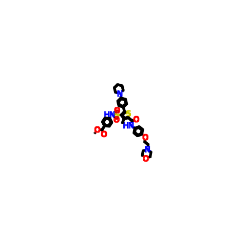 COC(=O)c1ccc(NS(=O)(=O)c2c(-c3ccc(N4CCCCC4)cc3)sc(C(=O)Nc3ccc(OCCN4CCOCC4)cc3)c2C)cc1